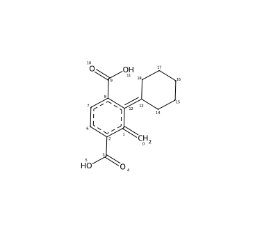 C=c1c(C(=O)O)ccc(C(=O)O)c1=C1CCCCC1